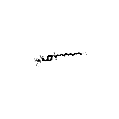 CCCCCCCCCCCCCC(=O)Nc1ccc(CC(=O)OC(C)(C)C)cc1